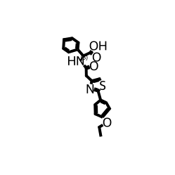 CCOc1ccc(-c2nc(CC(=O)N[C@H](C(=O)O)c3ccccc3)cs2)cc1